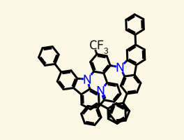 FC(F)(F)c1cc(-n2c3cc(-c4ccccc4)ccc3c3ccc(-c4ccccc4)cc32)c(-c2cccc(-c3ccccc3)n2)c(-n2c3cc(-c4ccccc4)ccc3c3ccc(-c4ccccc4)cc32)c1